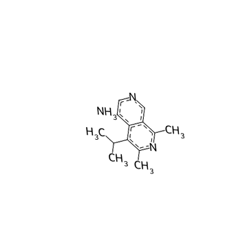 Cc1nc(C)c2cnccc2c1C(C)C.N